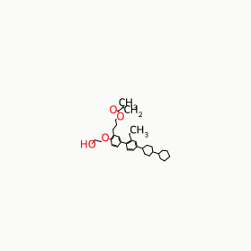 C=C(C)C(=O)OCCCc1cc(-c2ccc(C3CCC(C4CCCCC4)CC3)cc2CC)ccc1OCCO